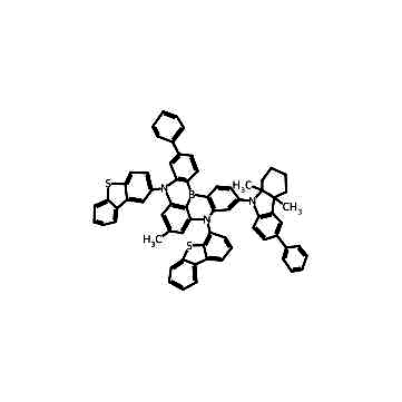 Cc1cc2c3c(c1)N(c1cccc4c1sc1ccccc14)c1cc(N4c5ccc(-c6ccccc6)cc5C5(C)CCCCC45C)ccc1B3c1ccc(-c3ccccc3)cc1N2c1ccc2sc3ccccc3c2c1